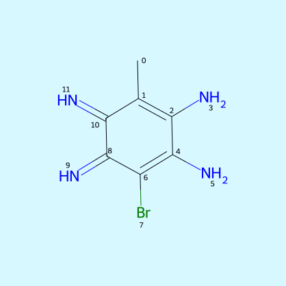 CC1=C(N)C(N)=C(Br)C(=N)C1=N